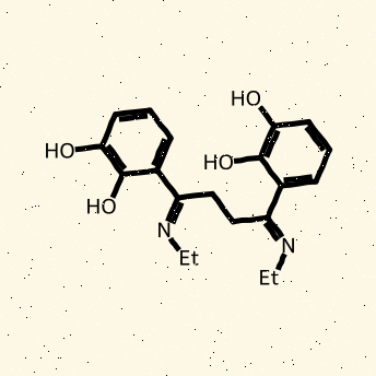 CC/N=C(\CC/C(=N\CC)c1cccc(O)c1O)c1cccc(O)c1O